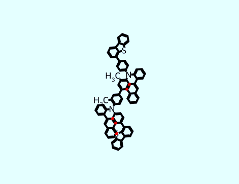 Cc1cc(-c2ccc(N(c3ccc(-c4cccc5c4sc4ccccc45)cc3)c3ccccc3-c3ccc4ccccc4c3)c(C)c2)ccc1N(c1ccc(-c2cccc3c2sc2ccccc23)cc1)c1ccccc1-c1ccc2ccccc2c1